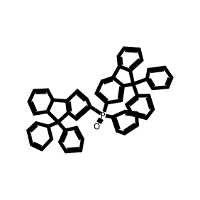 O=P(c1ccccc1)(c1ccc2c(c1)C(c1ccccc1)(c1ccccc1)c1ccccc1-2)c1ccc2c(c1)C(c1ccccc1)(C1C=CC=CC1)C1C=CC=CC21